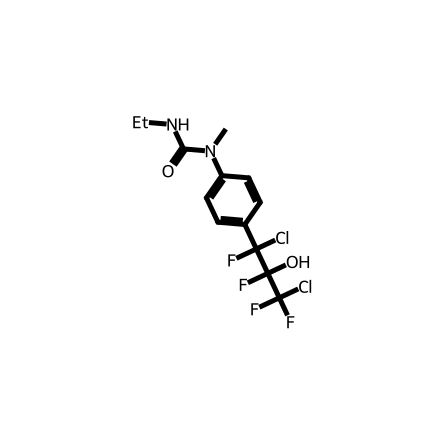 CCNC(=O)N(C)c1ccc(C(F)(Cl)C(O)(F)C(F)(F)Cl)cc1